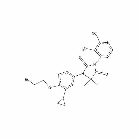 CC1(C)C(=O)N(c2ccnc(C#N)c2C(F)(F)F)C(=S)N1c1ccc(OCCBr)c(C2CC2)c1